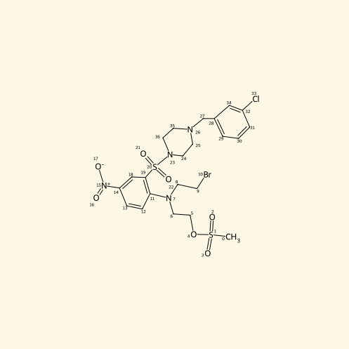 CS(=O)(=O)OCCN(CCBr)c1ccc([N+](=O)[O-])cc1S(=O)(=O)N1CCN(Cc2cccc(Cl)c2)CC1